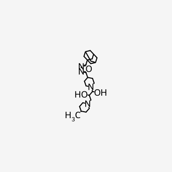 CC1CCN(CC(O)C(O)N2CCC(c3nnc(C45CC6CC(CC(C6)C4)C5)o3)CC2)CC1